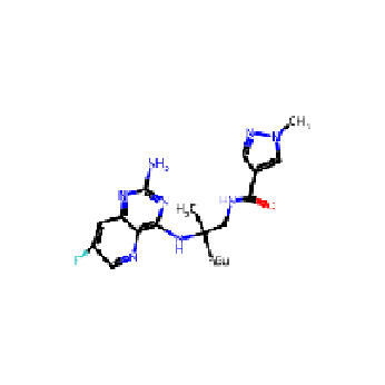 CCCCC(C)(CNC(=O)c1cnn(C)c1)Nc1nc(N)nc2cc(F)cnc12